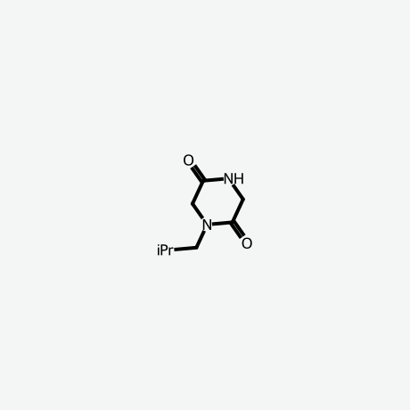 CC(C)CN1CC(=O)NCC1=O